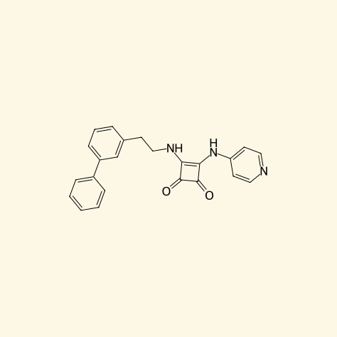 O=c1c(NCCc2cccc(-c3ccccc3)c2)c(Nc2ccncc2)c1=O